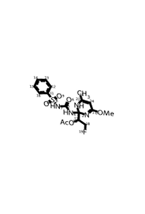 COC1=NC(NC(=O)NS(=O)(=O)c2ccccc2)(C(CF)OC(C)=O)NC(C)=C1